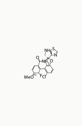 CO[C@H]1C=CC(C(N)=O)=C(c2c(Cl)ccc3c2C[C@@](CN)(c2cscn2)O3)C1F